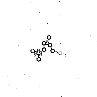 C=CCc1cccc(-c2ccc3c(c2)c2c(-c4cccc(-c5nc(-c6ccccc6)c6sc7ccccc7c6n5)c4)cccc2n3-c2ccccc2)c1